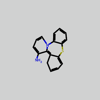 NC1=CC=CN2C1=C1CC=CC=C1Sc1ccccc12